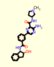 CN1CC[C@H](NC(=O)c2nc(-c3cccc(C(=O)N[C@@H]4c5ccccc5C[C@@H]4O)c3)cnc2N)C1